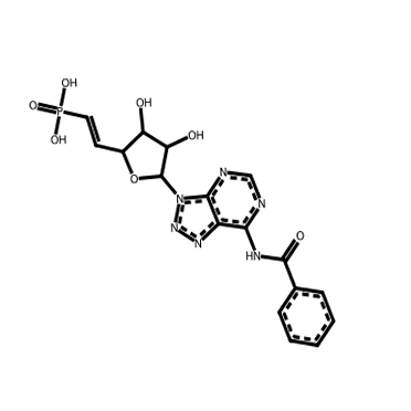 O=C(Nc1ncnc2c1nnn2C1OC(C=CP(=O)(O)O)C(O)C1O)c1ccccc1